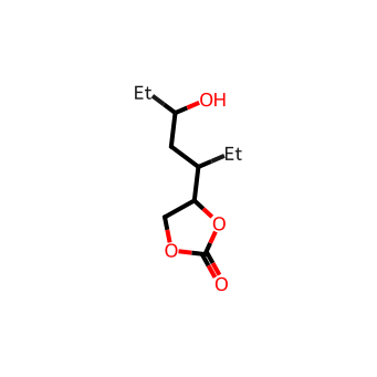 CCC(O)CC(CC)C1COC(=O)O1